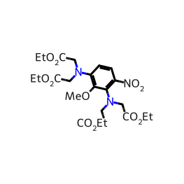 CCOC(=O)CN(CC(=O)OCC)c1ccc([N+](=O)[O-])c(N(CC(=O)OCC)CC(=O)OCC)c1OC